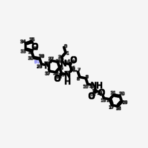 CCCN1C(=O)[C@H](CCCCNC(=O)OCc2ccccc2)NC(=O)C12CCN(C/C=C/c1ccco1)CC2